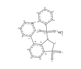 Cl.O=S1(=O)CC(S(=O)(=O)c2ccccc2)c2c(-c3cccnc3)cccc21